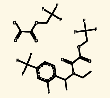 CCN(C(=O)C(=O)OCC(F)(F)F)C(C)c1ccc(C(F)(F)F)cc1F.O=C(Cl)C(=O)OCC(F)(F)F